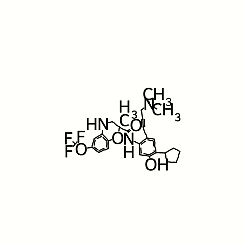 CN(C)CC#Cc1cc(C2CCCC2)c(O)cc1NC(=O)C1(C)CNc2cc(OC(F)(F)F)ccc2O1